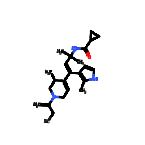 C=C(CC#N)N1CC=C(/C(=C/C(C)(C)NC(=O)C2CC2)c2cc[nH]c2C)C(C)C1